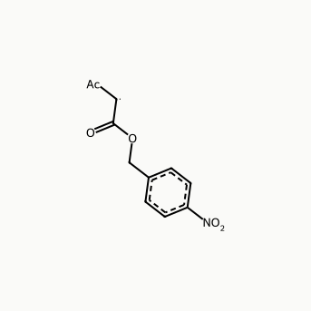 CC(=O)[CH]C(=O)OCc1ccc([N+](=O)[O-])cc1